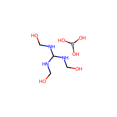 OB(O)O.OCNC(NCO)NCO